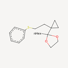 CCCCCCC1(C2(CCSc3ccccc3)CC2)OCCO1